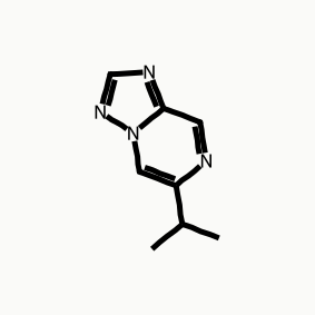 CC(C)c1cn2ncnc2cn1